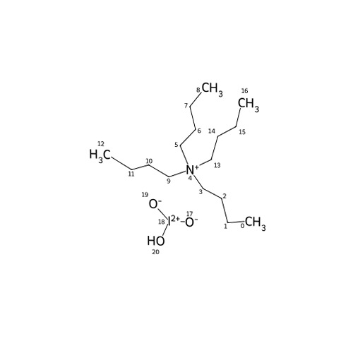 CCCC[N+](CCCC)(CCCC)CCCC.[O-][I+2]([O-])O